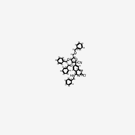 N#C[C@@]1(c2ccc3c(NCc4ccccc4)nc(Cl)nc3c2)O[C@H](COCc2ccccc2)[C@@H](OCc2ccccc2)[C@H]1OCc1ccccc1